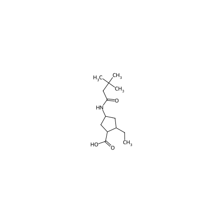 CCC1CC(NC(=O)CC(C)(C)C)CC1C(=O)O